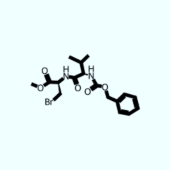 COC(=O)[C@H](CBr)NC(=O)[C@@H](NC(=O)OCc1ccccc1)C(C)C